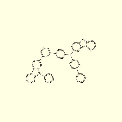 c1ccc(-c2ccc(N(c3ccc(-c4cccc(-c5ccc6c7ccccc7n(-c7ccccc7)c6c5)c4)cc3)c3ccc4oc5ccccc5c4c3)cc2)cc1